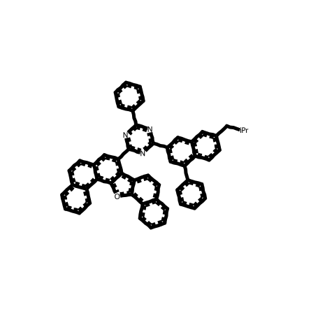 CC(C)Cc1ccc2c(-c3ccccc3)cc(-c3nc(-c4ccccc4)nc(-c4cc5ccc6ccccc6c5c5oc6c7ccccc7ccc6c45)n3)cc2c1